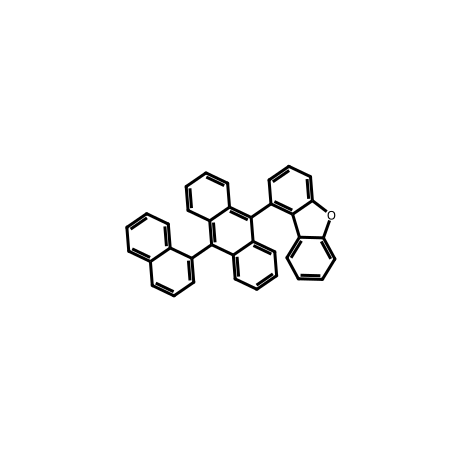 c1ccc2c(-c3c4ccccc4c(-c4cccc5oc6ccccc6c45)c4ccccc34)cccc2c1